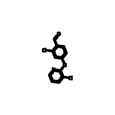 O=Cc1ccc(Oc2ncccc2Cl)cc1Cl